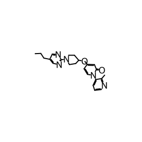 CCCc1cnc(N2CCC(Oc3ccn(-c4cccnc4C)c(=O)c3)CC2)nc1